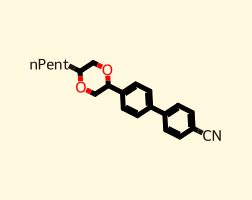 CCCCCC1COC(c2ccc(-c3ccc(C#N)cc3)cc2)CO1